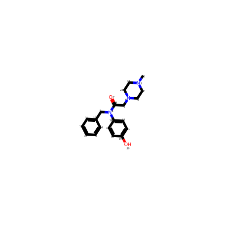 CN1CCN(CC(=O)N(Cc2ccccc2)c2ccc(O)cc2)CC1